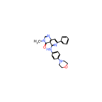 Cn1cnc2cc(-c3ccccc3)nc(Nc3ccc(N4CCOCC4)cc3)c2c1=O